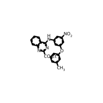 CCOC(=O)c1nc(Nc2cc(Oc3cccc(C)c3)cc([N+](=O)[O-])c2)c2ccccc2n1